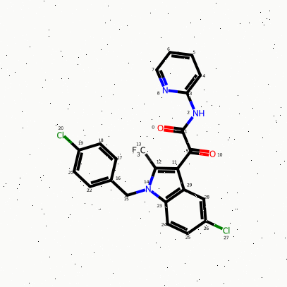 O=C(Nc1ccccn1)C(=O)c1c(C(F)(F)F)n(Cc2ccc(Cl)cc2)c2ccc(Cl)cc12